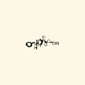 O=C(Nc1cnc(NCC2CCCCC2)nc1)OCCO